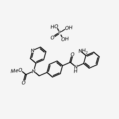 COC(=O)N(Cc1ccc(C(=O)Nc2ccccc2N)cc1)c1cccnc1.O=P(O)(O)O